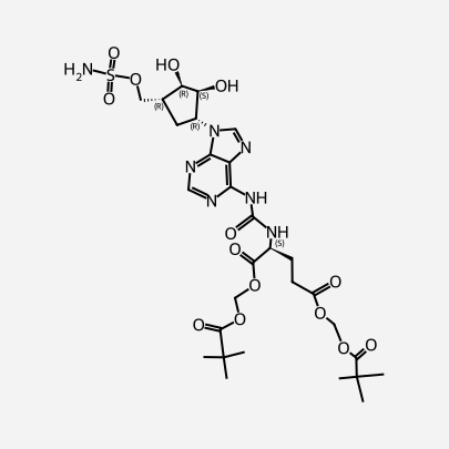 CC(C)(C)C(=O)OCOC(=O)CC[C@H](NC(=O)Nc1ncnc2c1ncn2[C@@H]1C[C@H](COS(N)(=O)=O)[C@@H](O)[C@H]1O)C(=O)OCOC(=O)C(C)(C)C